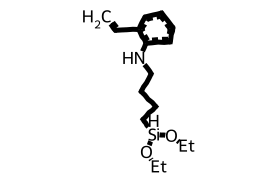 C=Cc1ccccc1NCCCC[SiH](OCC)OCC